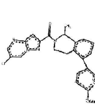 COc1ccc(-c2cccc3c2CCN(C(=O)c2cc4ncc(Cl)cn4n2)C3C)cn1